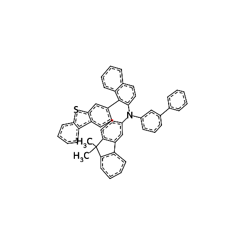 CC1(C)c2ccccc2-c2cc(N(c3cccc(-c4ccccc4)c3)c3ccc4ccccc4c3-c3ccc4c(c3)sc3ccccc34)ccc21